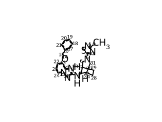 Cc1nsc(N2C[C@@H]3C(Nc4nc5c(OCc6ccccc6)cccn5n4)[C@H]4CCC43C2)n1